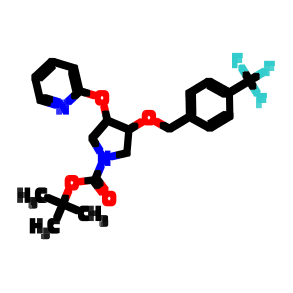 CC(C)(C)OC(=O)N1CC(OCc2ccc(C(F)(F)F)cc2)C(Oc2ccccn2)C1